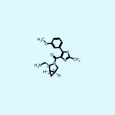 COc1cccc(-c2sc(C)nc2C(=O)N2C[C@H]3C[C@H]3[C@H]2CN)c1